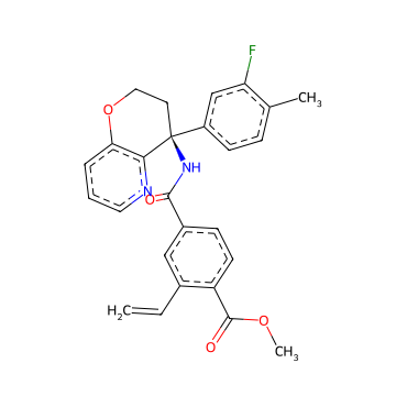 C=Cc1cc(C(=O)N[C@]2(c3ccc(C)c(F)c3)CCOc3cccnc32)ccc1C(=O)OC